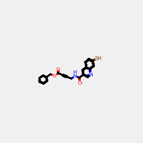 O=C(C#CCNC(=O)c1cnc2cc(S)ccc2c1)OCc1ccccc1